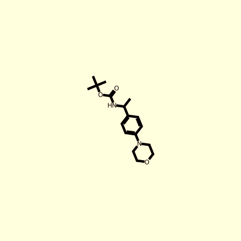 CC(NC(=O)OC(C)(C)C)c1ccc(N2CCOCC2)cc1